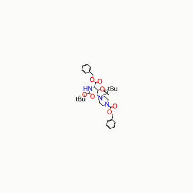 CC(C)(C)OC(=O)N[C@H](C(=O)OCc1ccccc1)C(CN1CCN(C(=O)OCc2ccccc2)CC1)O[Si](C)(C)C(C)(C)C